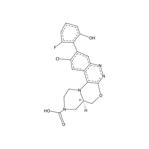 O=C(O)N1CCN2c3c(nnc4cc(-c5c(O)cccc5F)c(Cl)cc34)OC[C@H]2C1